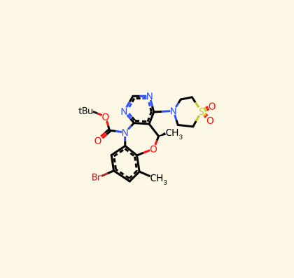 Cc1cc(Br)cc2c1O[C@H](C)c1c(N3CCS(=O)(=O)CC3)ncnc1N2C(=O)OC(C)(C)C